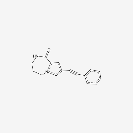 O=C1NCCCn2cc(C#Cc3ccccc3)cc21